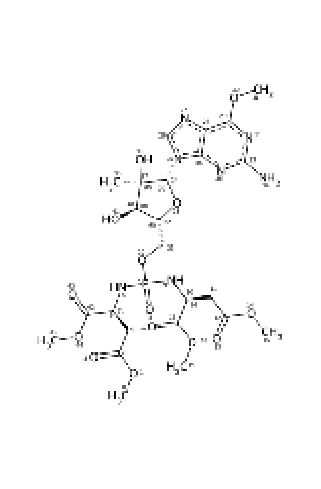 COC(=O)C[C@H](NP(=O)(N[C@@H](CC(=O)OC)C(=O)OC)OC[C@H]1O[C@@H](n2cnc3c(OC)nc(N)nc32)[C@](C)(O)[C@@H]1O)C(=O)OC